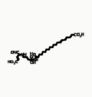 O=CC(CCC(=O)O)NCCCC(O)(O)NC(=O)CCCCCCCCCCCCCCCCCCC(=O)O